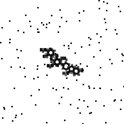 Cn1c(N2CCC3(CC2)Cc2cc(F)ccc2[C@H]3N)nc(N)c(Sc2ccnc(N)c2Cl)c1=O